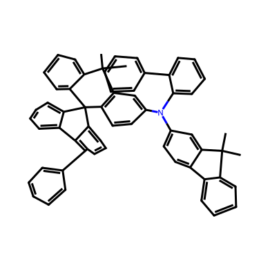 CC1(C)c2ccccc2-c2ccc(N(c3ccc4c(c3)C(C)(C)c3ccccc3C43c4ccccc4-c4c(-c5ccccc5)cccc43)c3ccccc3-c3ccccc3)cc21